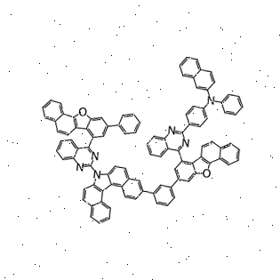 c1ccc(-c2cc(-c3nc(-n4c5ccc6ccccc6c5c5c6ccc(-c7cccc(-c8cc(-c9nc(-c%10ccc(N(c%11ccccc%11)c%11ccc%12ccccc%12c%11)cc%10)nc%10ccccc9%10)c9c(c8)oc8c%10ccccc%10ccc89)c7)cc6ccc54)nc4ccccc34)c3c(c2)oc2c4ccccc4ccc23)cc1